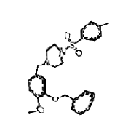 COc1ccc(CN2CCN(S(=O)(=O)c3ccc(C)cc3)CC2)cc1OCc1ccccc1